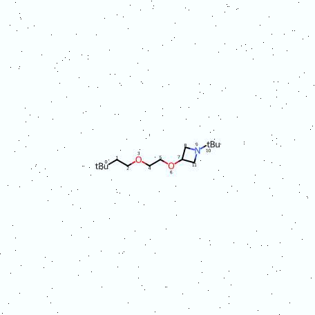 CC(C)(C)CCOCCOC1CN(C(C)(C)C)C1